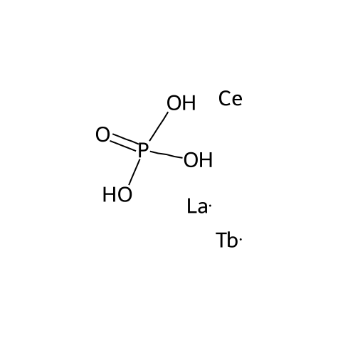 O=P(O)(O)O.[Ce].[La].[Tb]